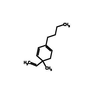 C=CC1(C)C=CC(CCCC)=CC1